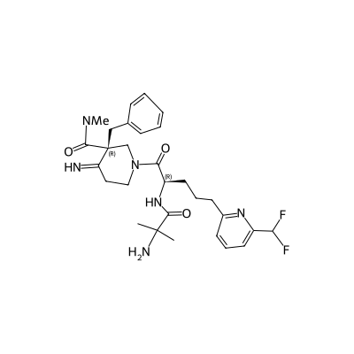 CNC(=O)[C@]1(Cc2ccccc2)CN(C(=O)[C@@H](CCCc2cccc(C(F)F)n2)NC(=O)C(C)(C)N)CCC1=N